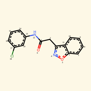 O=C(Cc1noc2ccccc12)Nc1cccc(Cl)c1